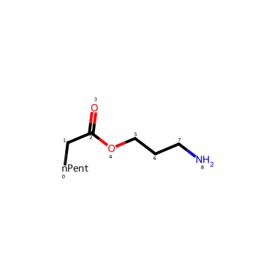 CCCCCCC(=O)OCCCN